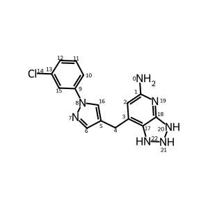 Nc1cc(Cc2cnn(-c3cccc(Cl)c3)c2)c2c(n1)NNN2